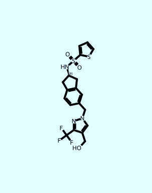 O=S(=O)(N[C@@H]1Cc2ccc(Cn3cc(CO)c(C(F)(F)F)n3)cc2C1)c1cccs1